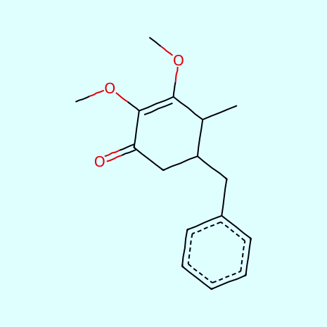 COC1=C(OC)C(C)C(Cc2ccccc2)CC1=O